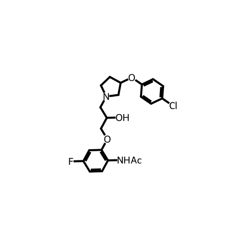 CC(=O)Nc1ccc(F)cc1OCC(O)CN1CCC(Oc2ccc(Cl)cc2)C1